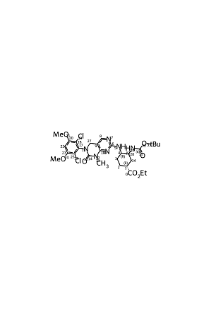 CCOC(=O)[C@@H]1CC[C@@H](Nc2ncc3c(n2)N(C)C(=O)N(c2c(Cl)c(OC)cc(OC)c2Cl)C3)[C@@H](NC(=O)OC(C)(C)C)C1